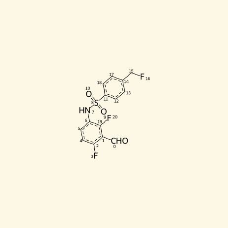 O=Cc1c(F)ccc(NS(=O)(=O)c2ccc(CF)cc2)c1F